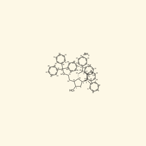 B.OC1C[C@H](P(c2ccccc2)c2ccccc2)[C@@H](CP(c2ccccc2)c2ccccc2)C1CCOC(c1ccccc1)(c1ccccc1)c1ccccc1